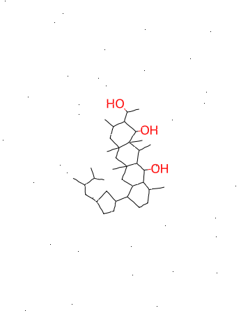 CC(C)C(C)CC1CCC(C2CCC(C)C3C(O)C4C(C)C5(C)C(O)C(C(C)O)C(C)CC5(C)CC4(C)CC23)C1